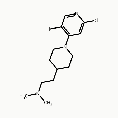 CN(C)CCC1CCN(c2cc(Cl)ncc2I)CC1